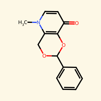 Cn1ccc(=O)c2c1COC(c1ccccc1)O2